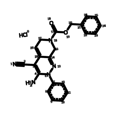 Cl.N#CC1=C(N)N(c2ccccc2)N=C2CN(C(=O)OCc3ccccc3)CC=C21